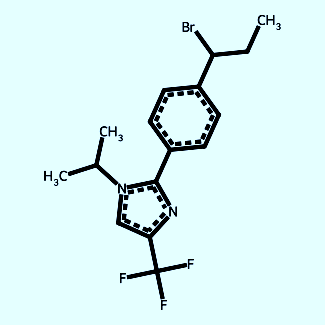 CCC(Br)c1ccc(-c2nc(C(F)(F)F)cn2C(C)C)cc1